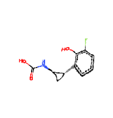 O=C(O)N[C@@H]1C[C@H]1c1cccc(F)c1O